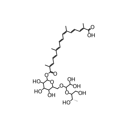 CC(=C/C=C/C=C(C)/C=C/C=C(\C)C(=O)OC1OC(COC(OC(CO)[C@H](C)O)C(O)O)C(O)C(O)C1O)/C=C/C=C(\C)C(=O)O